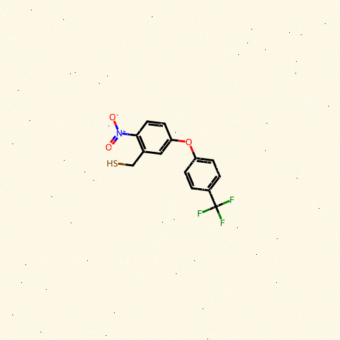 O=[N+]([O-])c1ccc(Oc2ccc(C(F)(F)F)cc2)cc1CS